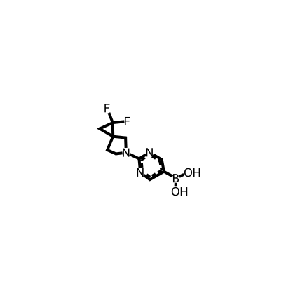 OB(O)c1cnc(N2CCC3(C2)CC3(F)F)nc1